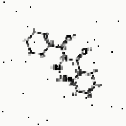 CCCCNN(C(=O)C1=CCCCC1)C(=O)c1ccccc1